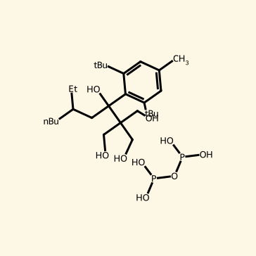 CCCCC(CC)CC(O)(c1c(C(C)(C)C)cc(C)cc1C(C)(C)C)C(CO)(CO)CO.OP(O)OP(O)O